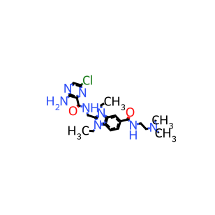 CCn1c(CNC(=O)c2nc(Cl)cnc2N)[n+](CC)c2ccc(C(=O)NCCN(C)C)cc21